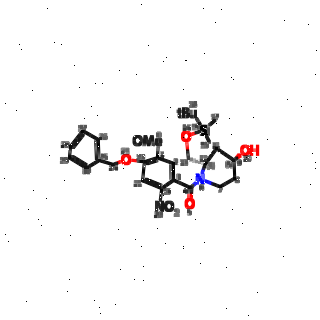 COc1cc(C(=O)N2CC[C@H](O)C[C@H]2CO[Si](C)(C)C(C)(C)C)c([N+](=O)[O-])cc1OCc1ccccc1